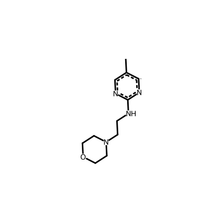 Cc1[c]nc(NCCN2CCOCC2)nc1